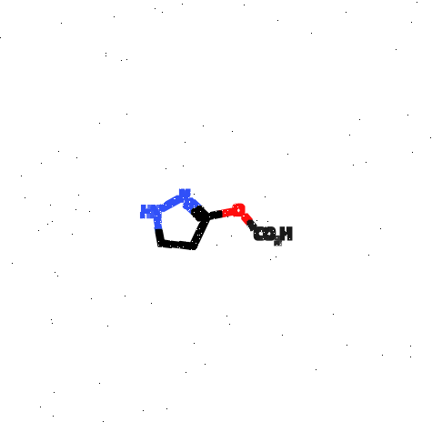 O=C(O)OC1=NNCC1